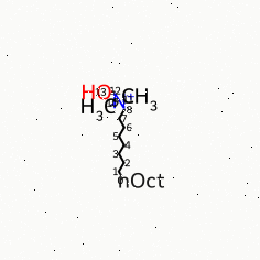 CCCCCCCCCCCCCCCC[N+](C)(C)CO